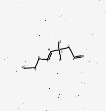 C=CCC(C)(C)C=CCCC